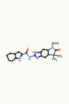 CCCCCN1C(=O)C(C)(C)c2cc3nc(NC(=O)c4cc5ccccc5[nH]4)[nH]c3cc21